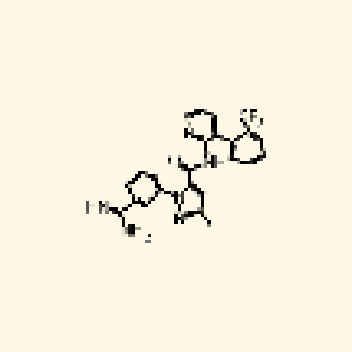 Cc1cc(C(=O)Nc2ncccc2-c2ccccc2C(F)(F)F)n(-c2cccc(C(=N)N)c2)n1